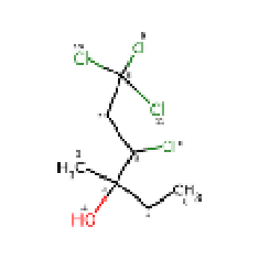 CCC(C)(O)C(Cl)CC(Cl)(Cl)Cl